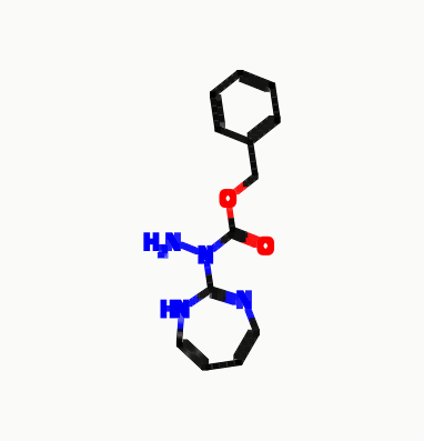 NN(C(=O)OCc1ccccc1)C1=NC=CC=CN1